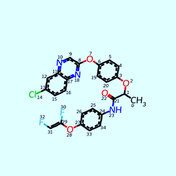 CC(Oc1ccc(Oc2cnc3cc(Cl)ccc3n2)cc1)C(=O)Nc1ccc(O/C(F)=C/F)cc1